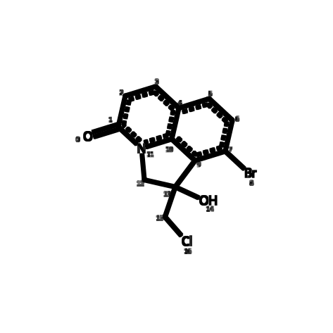 O=c1ccc2ccc(Br)c3c2n1CC3(O)CCl